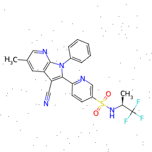 Cc1cnc2c(c1)c(C#N)c(-c1ccc(S(=O)(=O)N[C@@H](C)C(F)(F)F)cn1)n2-c1ccccc1